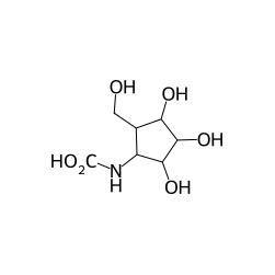 O=C(O)NC1C(O)C(O)C(O)C1CO